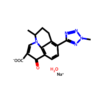 CC1CCc2c(-c3nnn(C)n3)ccc3c(=O)c(C(=O)[O-])cn1c23.O.[Na+]